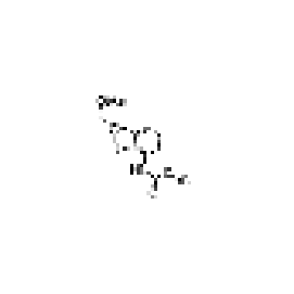 COCC1C2Oc3c(NC(=O)OC(C)(C)C)cccc3C12